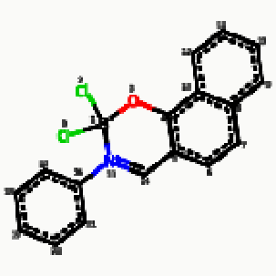 Cl[B-]1(Cl)Oc2c(ccc3ccccc23)C=[N+]1c1ccccc1